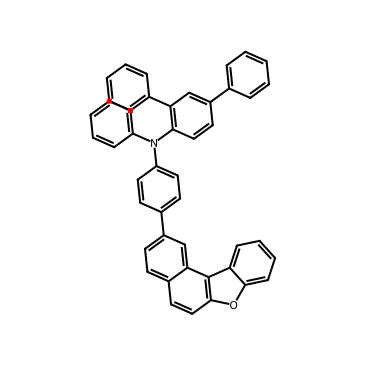 c1ccc(-c2ccc(N(c3ccccc3)c3ccc(-c4ccc5ccc6oc7ccccc7c6c5c4)cc3)c(-c3ccccc3)c2)cc1